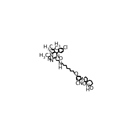 Cc1sc2c(c1C)C(c1ccc(Cl)cc1)=N[C@@H](CC(=O)NCCCCCCCCOc1ccc(C#N)c(N3CCC4(CCCC(=O)NC4=O)C3)c1)c1nnc(C)n1-2